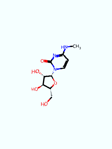 CNc1ccn([C@@H]2O[C@H](CO)[C@@H](O)[C@@H]2O)c(=O)n1